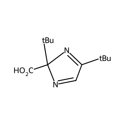 CC(C)(C)C1=NC(C(=O)O)(C(C)(C)C)N=C1